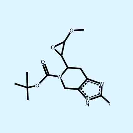 COC1OC1C1Cc2nc(I)[nH]c2CN1C(=O)OC(C)(C)C